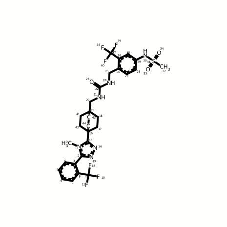 Cn1c(-c2ccccc2C(F)(F)F)nnc1C12CCC(CNC(=O)NCc3ccc(NS(C)(=O)=O)cc3C(F)(F)F)(CC1)CC2